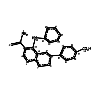 NC(=O)c1cnc2ccc(-c3ccc(C(=O)O)cc3)cc2c1Nc1ccccc1